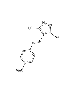 COc1ccc(C=Nn2c(C)nnc2S)cc1